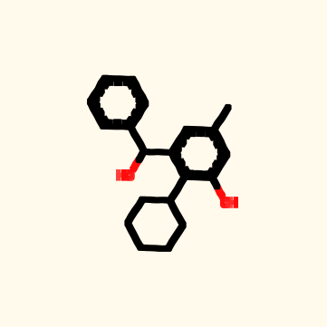 Cc1cc(O)c(C2CCCCC2)c(C(O)c2ccccc2)c1